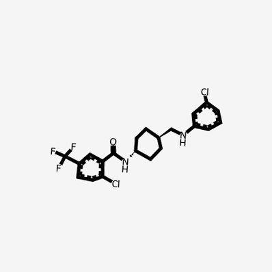 O=C(N[C@H]1CC[C@H](CNc2cccc(Cl)c2)CC1)c1cc(C(F)(F)F)ccc1Cl